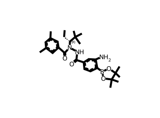 CC[C@@H](N(NC(=O)c1ccc(B2OC(C)(C)C(C)(C)O2)c(N)c1)C(=O)c1cc(C)cc(C)c1)C(C)(C)C